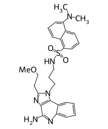 COCCc1nc2c(N)nc3ccccc3c2n1CCCNS(=O)(=O)c1cccc2c(N(C)C)cccc12